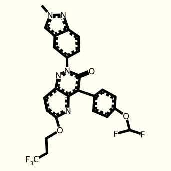 Cn1cc2cc(-n3nc4ccc(OCCC(F)(F)F)nc4c(-c4ccc(OC(F)F)cc4)c3=O)ccc2n1